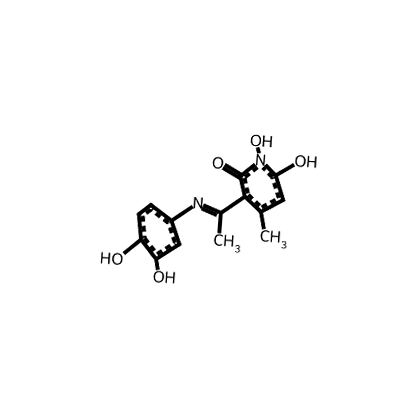 C/C(=N\c1ccc(O)c(O)c1)c1c(C)cc(O)n(O)c1=O